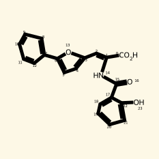 O=C(O)C(=Cc1ccc(-c2ccccc2)o1)NC(=O)c1ccccc1O